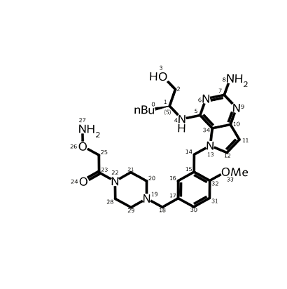 CCCC[C@@H](CO)Nc1nc(N)nc2ccn(Cc3cc(CN4CCN(C(=O)CON)CC4)ccc3OC)c12